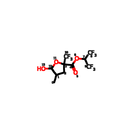 CC1CC(C(=O)OC(C(F)(F)F)C(F)(F)F)(C(F)(F)F)OC1O